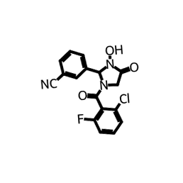 N#Cc1cccc(C2N(O)C(=O)CN2C(=O)c2c(F)cccc2Cl)c1